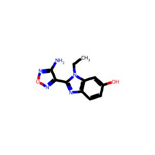 CCn1c(-c2nonc2N)nc2ccc(O)cc21